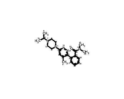 Cc1cc(N2CCN(C(C)C)CC2)nnc1-c1ccccc1C(=O)N(C)C